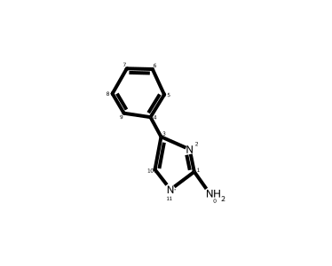 NC1=NC(c2ccccc2)=[C][N]1